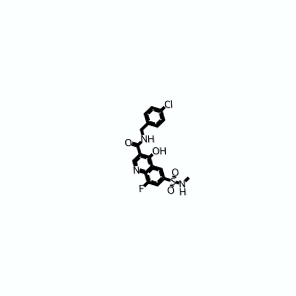 CNS(=O)(=O)c1cc(F)c2ncc(C(=O)NCc3ccc(Cl)cc3)c(O)c2c1